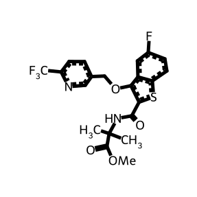 COC(=O)C(C)(C)NC(=O)c1sc2ccc(F)cc2c1OCc1ccc(C(F)(F)F)nc1